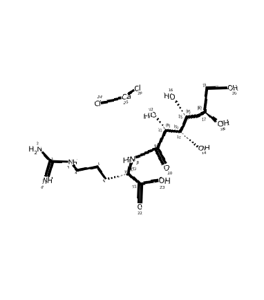 N=C(N)NCCC[C@H](NC(=O)[C@H](O)[C@@H](O)[C@H](O)[C@H](O)CO)C(=O)O.[Cl][Ca][Cl]